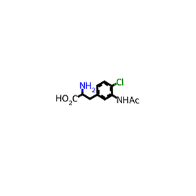 CC(=O)Nc1cc(CC(N)C(=O)O)ccc1Cl